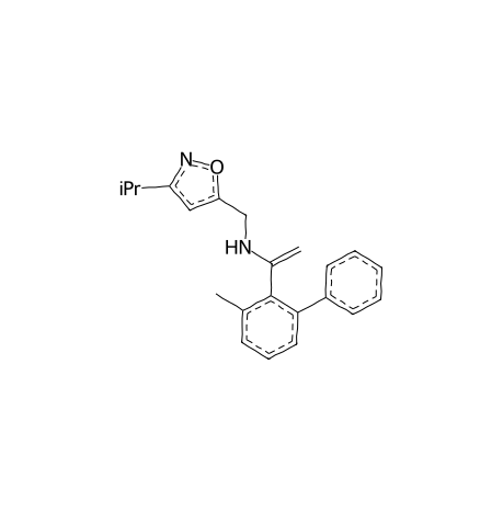 C=C(NCc1cc(C(C)C)no1)c1c(C)cccc1-c1ccccc1